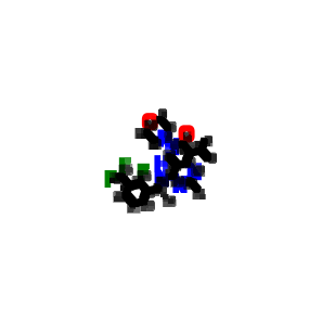 C=C(C)c1c(=O)n(N2CCOCC2)cc2c(N[C@H](C)c3cccc(C(F)F)c3F)nc(C)nc12